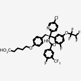 O=C(O)CCCCOc1ccc(C[C@](NC(=O)c2ccc(F)c(C(F)(F)F)c2)(c2cc(F)cc(OC(F)(F)C(F)F)c2)c2ccc(Cl)cn2)cc1